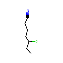 [CH2]CC(Cl)CCCC#N